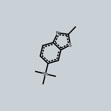 Cc1nc2cc[c]([Sn]([CH3])([CH3])[CH3])cc2s1